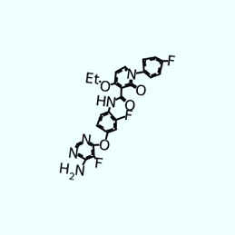 CCOc1ccn(-c2ccc(F)cc2)c(=O)c1C(=O)Nc1ccc(Oc2ncnc(N)c2F)cc1F